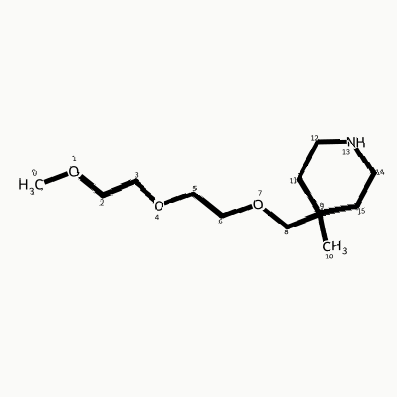 COCCOCCOCC1(C)CCNCC1